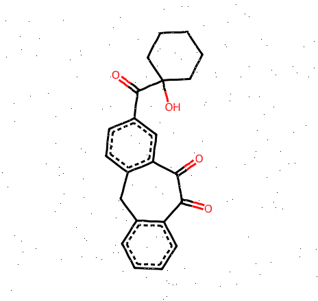 O=C1C(=O)c2cc(C(=O)C3(O)CCCCC3)ccc2Cc2ccccc21